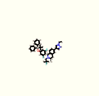 CCn1cc(-c2ccc3c(c2)C[C@@H](C)N(CC(C)(C)F)[C@@H]3c2c(F)cc(O[Si](c3ccccc3)(c3ccccc3)C(C)(C)C)cc2F)cn1